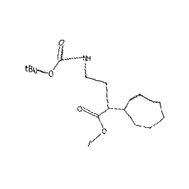 CC(C)(C)OC(=O)NCCC(C(=O)OI)C1CCCCC1